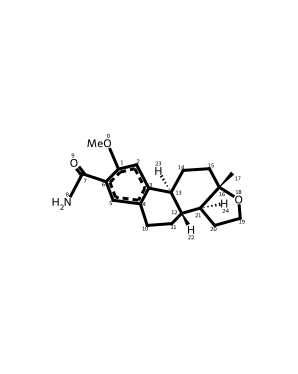 COc1cc2c(cc1C(N)=O)CC[C@@H]1[C@@H]2CC[C@]2(C)OCC[C@@H]12